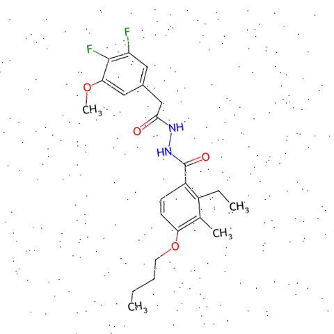 CCCCOc1ccc(C(=O)NNC(=O)Cc2cc(F)c(F)c(OC)c2)c(CC)c1C